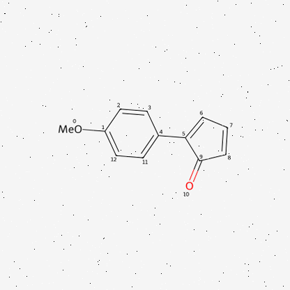 COc1ccc(C2=CC=CC2=O)cc1